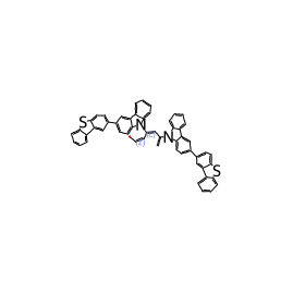 C=C(/C=C(\C=C/C)n1c2ccccc2c2cc(-c3ccc4sc5ccccc5c4c3)ccc21)n1c2ccccc2c2cc(-c3ccc4sc5ccccc5c4c3)ccc21